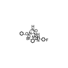 O=C1NCCN(C(=O)OCc2ccccc2)C[C@@H]1Nc1nc2c(Br)cccc2c2nc(-c3ccc(F)cc3)nn12